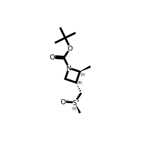 C[C@H]1[C@H](C[S@@+](C)[O-])CN1C(=O)OC(C)(C)C